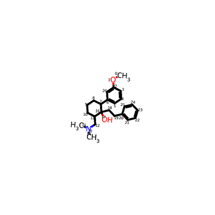 COc1cccc(C2CCCC(CN(C)C)C2(O)CCc2ccccc2)c1